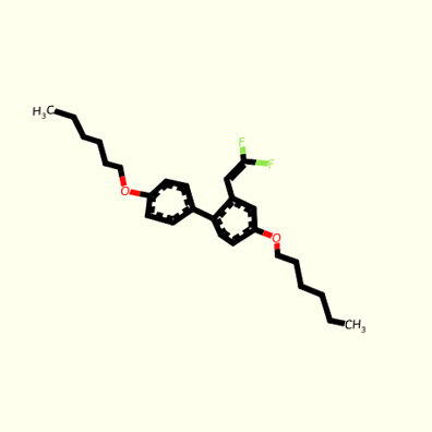 CCCCCCOc1ccc(-c2ccc(OCCCCCC)cc2C=C(F)F)cc1